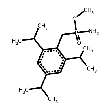 COP(N)(=O)Cc1c(C(C)C)cc(C(C)C)cc1C(C)C